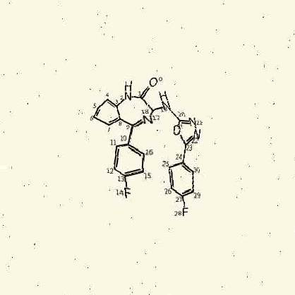 O=C1Nc2ccccc2C(c2ccc(F)cc2)=NC1Nc1nnc(-c2ccc(F)cc2)o1